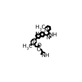 Cc1cccc(-c2[nH]cnc2-c2ccc3ncc(N4CCN(C)C(CC(=O)OCC5CNC5)C4)cc3c2)n1